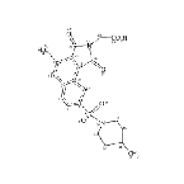 Cc1nc2ccc(S(=O)(=O)N3CCC(C)CC3)cc2c2c1C(=O)N(CC(=O)O)C2=O